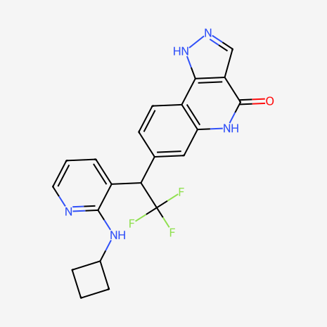 O=c1[nH]c2cc(C(c3cccnc3NC3CCC3)C(F)(F)F)ccc2c2[nH]ncc12